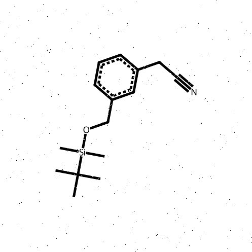 CC(C)(C)[Si](C)(C)OCc1cccc(CC#N)c1